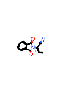 C/C=C(\C#N)N1C(=O)c2ccccc2C1=O